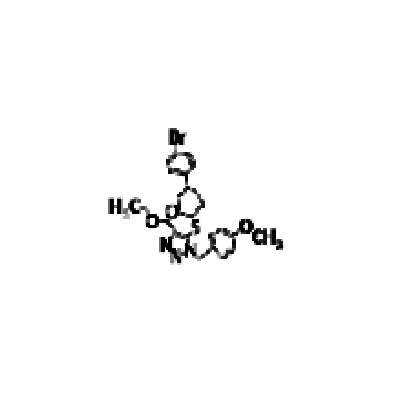 CCOC(=O)c1nnn(Cc2ccc(OC)cc2)c1S[C@H]1CC[C@H](c2ccc(Br)cc2)CC1